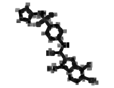 Cc1ccc2c(cc(C(O)Nc3ccc(S(=O)(=O)Nc4nccs4)cc3)n2C)c1Cl